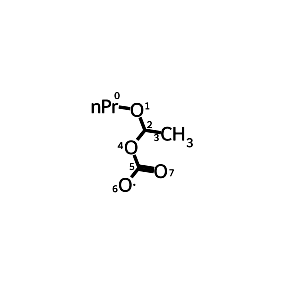 CCCOC(C)OC([O])=O